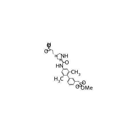 COS(=O)(=O)Cc1cccc(-c2c(C)cc(NC(=O)[C@H]3C[C@H](CC[SH](=O)=O)CN3)cc2C)c1